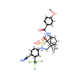 COc1ccc(C(=O)NC[C@@]23[C@@H]4CC[C@@H](C4)[C@@H]2CN(c2ccc(C#N)c(C(F)(F)F)c2)S3(O)O)cc1